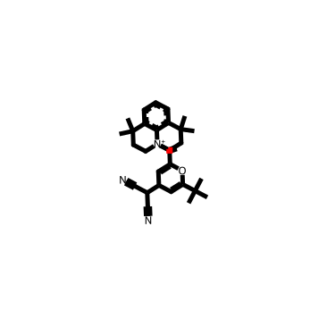 C=C(C1=CC(C(C#N)C#N)C=C(C(C)(C)C)O1)[N+]12CCC(C)(C)c3cccc(c31)C(C)(C)CC2